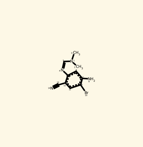 CN(C)/C=N\c1cc(N)c(Br)cc1C#N